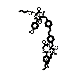 CCCCOCCN(C)C(=O)C1(Cc2ccc(CCc3ccc(CC45SC(c6ccc(OC)cc6)S[C@@](COCCCC)(C(=O)N4C)N(C)C5=O)cc3)cc2)SC(c2ccc(OC)cc2)SCC(=O)N1C